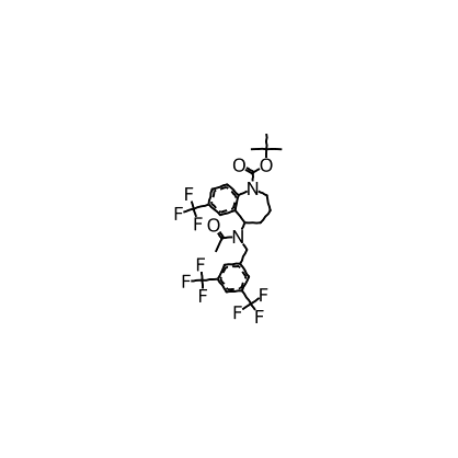 CC(=O)N(Cc1cc(C(F)(F)F)cc(C(F)(F)F)c1)C1CCCN(C(=O)OC(C)(C)C)c2ccc(C(F)(F)F)cc21